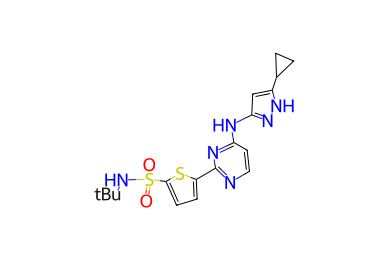 CC(C)(C)NS(=O)(=O)c1ccc(-c2nccc(Nc3cc(C4CC4)[nH]n3)n2)s1